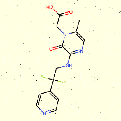 Cc1cnc(NCC(F)(F)c2ccncc2)c(=O)n1CC(=O)O